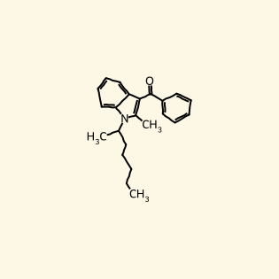 CCCCCC(C)n1c(C)c(C(=O)c2ccccc2)c2ccccc21